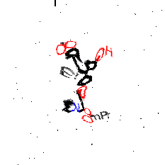 CCCC(=O)OC(COc1ccc(C(=C(CC)c2ccc3c(c2)OCO3)c2ccc(O)cc2)cc1)CN1CCCC1